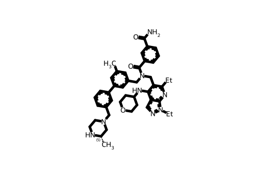 CCc1nc2c(cnn2CC)c(NC2CCOCC2)c1CN(Cc1cc(C)cc(-c2cccc(CN3CCN[C@@H](C)C3)c2)c1)C(=O)c1cccc(C(N)=O)c1